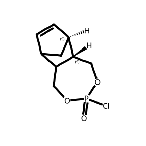 O=P1(Cl)OCC2C3C=C[C@H](C3)[C@@H]2CO1